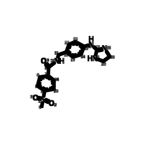 CS(=O)(=O)c1ccc(C(=O)NCc2ccc(NC3=NCCN3)cc2)cc1